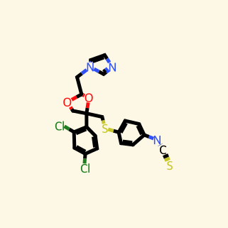 S=C=Nc1ccc(SCC2(c3ccc(Cl)cc3Cl)COC(Cn3ccnc3)O2)cc1